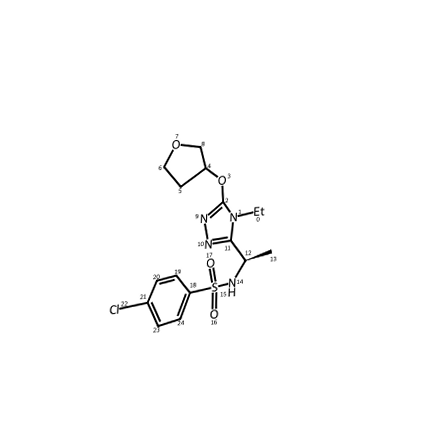 CCn1c(OC2CCOC2)nnc1[C@@H](C)NS(=O)(=O)c1ccc(Cl)cc1